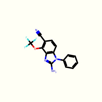 N#Cc1ccc2c(nc(N)n2-c2ccccc2)c1OC(F)(F)F